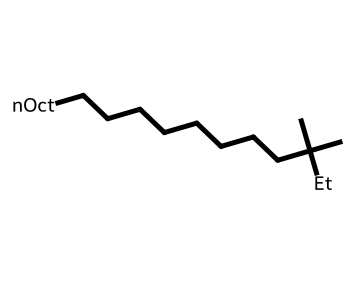 CCCCCCCCCCCCCCCCC(C)(C)CC